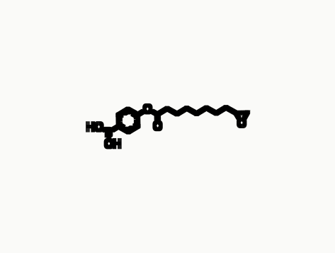 O=C(CCCCCCCC1CO1)Oc1ccc(B(O)O)cc1